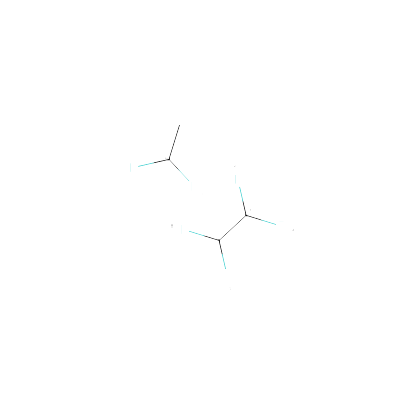 CC(F)F.FC(F)C(F)F